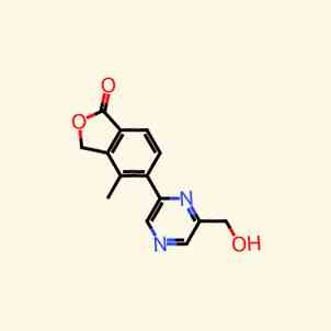 Cc1c(-c2cncc(CO)n2)ccc2c1COC2=O